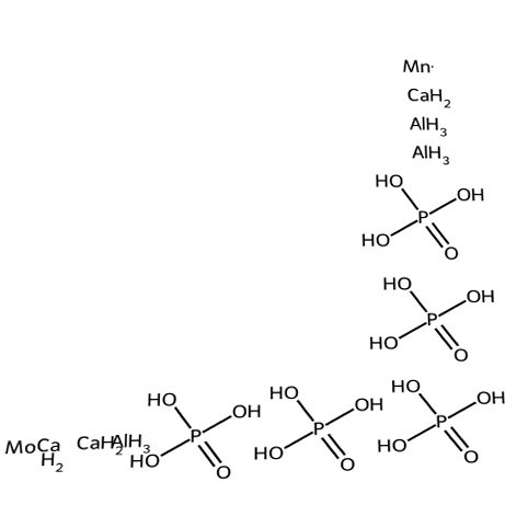 O=P(O)(O)O.O=P(O)(O)O.O=P(O)(O)O.O=P(O)(O)O.O=P(O)(O)O.[AlH3].[AlH3].[AlH3].[CaH2].[CaH2].[CaH2].[Mn].[Mo]